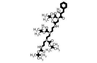 CC(C)(C)OC(=O)NCCN(CCN(CCNC(=O)CN(C(=O)OC(C)(C)C)C(=O)[C@@H](N)Cc1ccccc1)C(=O)OC(C)(C)C)C(=O)OC(C)(C)C